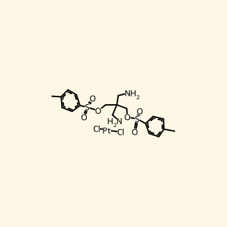 Cc1ccc(S(=O)(=O)OCC(CN)(CN)COS(=O)(=O)c2ccc(C)cc2)cc1.[Cl][Pt][Cl]